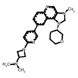 CN1CN([C@@H]2CCCOC2)c2c1cnc1ccc(-c3ccc(N4CC(N(C)C)C4)nc3)cc21